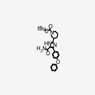 CC(C)(C)OC(=O)N1CCCC(c2nc(-c3ccc(Oc4ccccc4)cc3)c(C(N)=O)[nH]2)C1